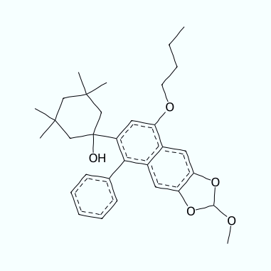 CCCCOc1cc(C2(O)CC(C)(C)CC(C)(C)C2)c(-c2ccccc2)c2cc3c(cc12)OC(OC)O3